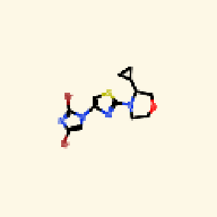 Brc1cn(-c2csc(N3CCOCC3C3CC3)n2)c(Br)n1